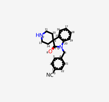 N#Cc1ccc(CN2C(=O)C3(CCNCC3)c3ccccc32)cc1